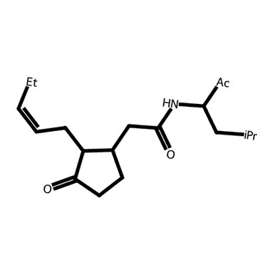 CC/C=C\CC1C(=O)CCC1CC(=O)NC(CC(C)C)C(C)=O